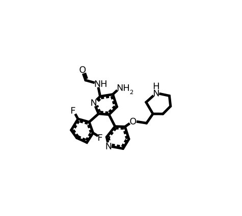 Nc1cc(-c2cnccc2OCC2CCCNC2)c(-c2c(F)cccc2F)nc1NC=O